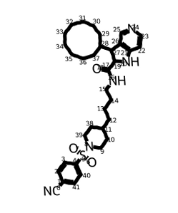 N#Cc1ccc(S(=O)(=O)N2CCC(CCCCNC(=O)C3Nc4ccncc4C3C3CCCCCCCCC3)CC2)cc1